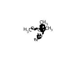 COCCOC12CC3(C)CC(C)(CC(Cn4cc(Br)cn4)(C3)C1)C2